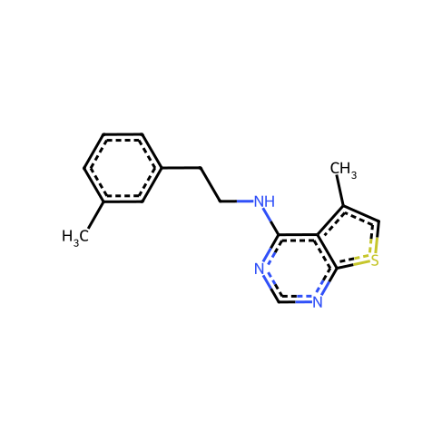 Cc1cccc(CCNc2ncnc3scc(C)c23)c1